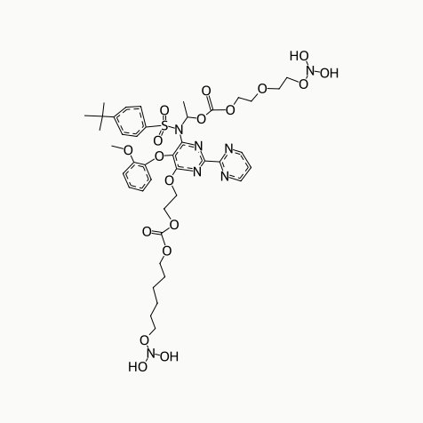 COc1ccccc1Oc1c(OCCOC(=O)OCCCCCCON(O)O)nc(-c2ncccn2)nc1N(C(C)OC(=O)OCCOCCON(O)O)S(=O)(=O)c1ccc(C(C)(C)C)cc1